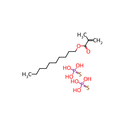 C=C(C)C(=O)OCCCCCCCCCC.OP(O)(O)=S.OP(O)(O)=S